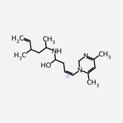 C=CC(C)CC(C)NC(O)C/C=C\N1CN=C(C)C=C1C